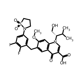 COc1cc2c(cc1Cc1cc(N3CCCS3(=O)=O)cc(I)c1F)c(=O)c(C(=O)O)cn2[C@H](CO)C(C)C